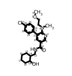 COCCN(C)c1ncc(C(=O)NCC2CCCCC2O)cc1-c1ccc(Cl)cc1